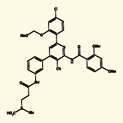 COCOc1cc(Cl)ccc1-c1cc(-c2cccc(NC(=O)CCN(C(=O)O)C(C)(C)C)c2)c(C#N)c(NC(=O)c2ccc(OC)cc2OC)n1